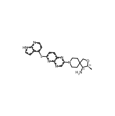 C[C@@H]1OCC2(CCN(c3cnc4nc(Sc5ccnc6[nH]ccc56)ccc4n3)CC2)[C@@H]1N